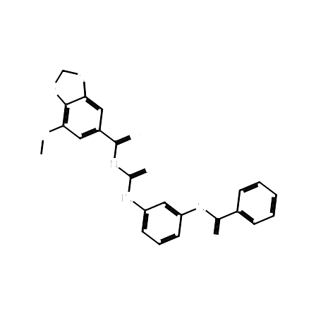 COc1cc(C(=O)NC(=S)Nc2cccc(NC(=O)c3ccccc3)c2)cc2c1OCO2